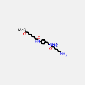 COC(=O)CCCCCCC(=O)Nc1ccc(CCNC(=O)C(CCCCN)[N+](C)(C)C)cc1